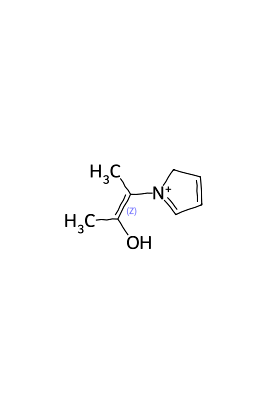 C/C(O)=C(\C)[N+]1=CC=CC1